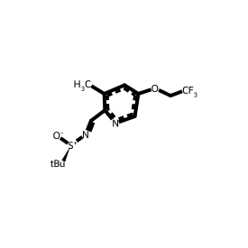 Cc1cc(OCC(F)(F)F)cnc1/C=N/[S@+]([O-])C(C)(C)C